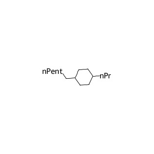 [CH2]CCC1CCC(CCCCCC)CC1